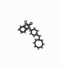 O=c1[nH]c2cnccc2n1C1CCN(CC2CCCCCCC2)CC1